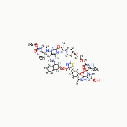 Cc1ncsc1-c1ccc([C@H](C)NC(=O)[C@@H]2C[C@@H](O)CN2C(=O)[C@@H](NC(=O)COCCOC2CCN(C[C@@H](C)Oc3nc4c(c(N5CCN(C(=O)OC(C)(C)C)[C@@H](CC#N)C5)n3)CCN(c3cc(O)cc5ccccc35)C4)CC2)C(C)(C)C)cc1